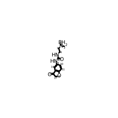 BN(C)CCNC(=O)Nc1ccc2c(c1)C(=O)CO2